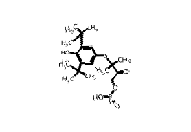 CC(C)(Sc1cc(C(C)(C)C)c(O)c(C(C)(C)C)c1)C(=O)CO[PH](=O)O